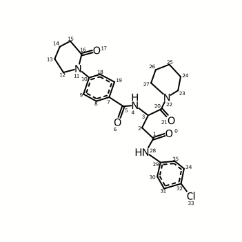 O=C(CC(NC(=O)c1ccc(N2CCCCC2=O)cc1)C(=O)N1CCCCC1)Nc1ccc(Cl)cc1